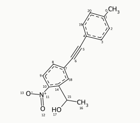 Cc1ccc(C#Cc2ccc([N+](=O)[O-])c(C(C)O)c2)cc1